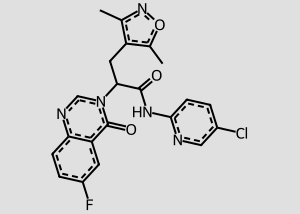 Cc1noc(C)c1CC(C(=O)Nc1ccc(Cl)cn1)n1cnc2ccc(F)cc2c1=O